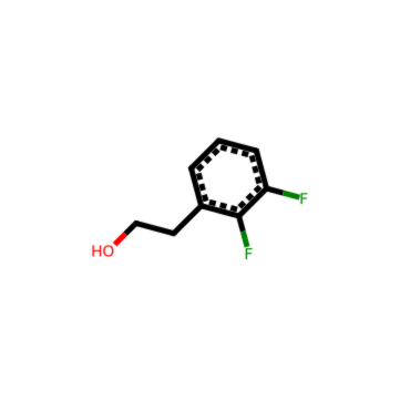 OCCc1cccc(F)c1F